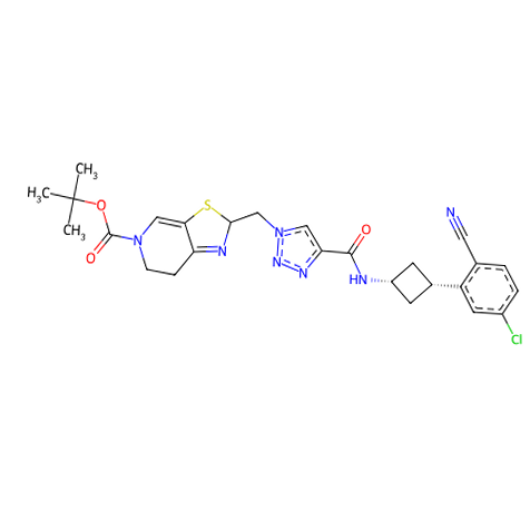 CC(C)(C)OC(=O)N1C=C2SC(Cn3cc(C(=O)N[C@H]4C[C@@H](c5cc(Cl)ccc5C#N)C4)nn3)N=C2CC1